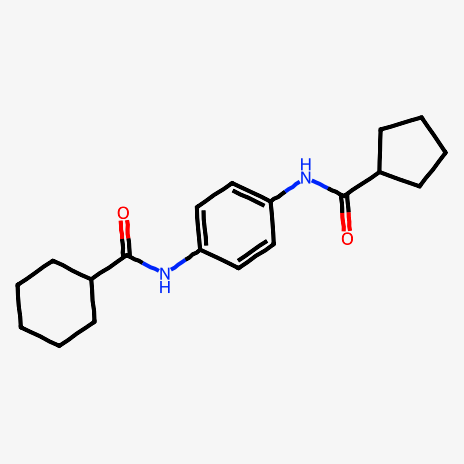 O=C(Nc1ccc(NC(=O)C2CCCC2)cc1)C1CCCCC1